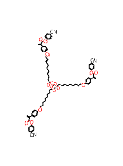 C=C(C(=O)Oc1ccc(C#N)cc1)c1ccc(OCCCCCCCCCC(=O)OC(CC)(OC(=O)CCCCCCCCCOc2ccc(C(=C)C(=O)Oc3ccc(C#N)cc3)cc2)OC(=O)CCCCCCCCCOc2ccc(C(=C)C(=O)Oc3ccc(C#N)cc3)cc2)cc1